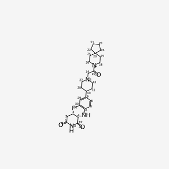 O=C1CC[C@H](Nc2ccc(C3CCN(CC(=O)N4CCC5(CCCC5)CC4)CC3)cc2F)C(=O)N1